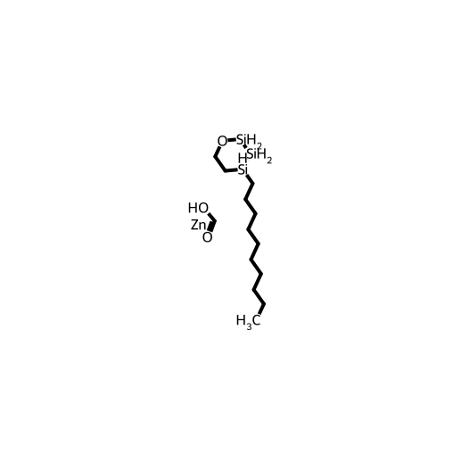 CCCCCCCCCC[SiH]1CCO[SiH2][SiH2]1.O=CO.[Zn]